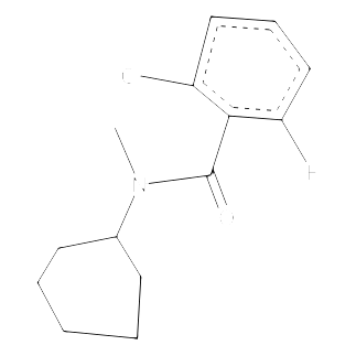 CN(C(=O)c1c(F)cccc1Cl)C1CCCCC1